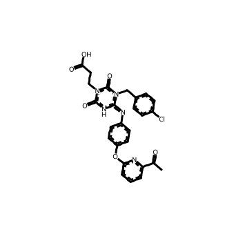 CC(=O)c1cccc(Oc2ccc(/N=c3\[nH]c(=O)n(CCC(=O)O)c(=O)n3Cc3ccc(Cl)cc3)cc2)n1